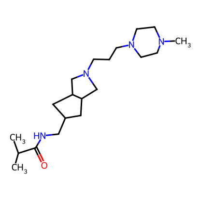 CC(C)C(=O)NCC1CC2CN(CCCN3CCN(C)CC3)CC2C1